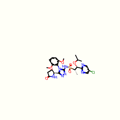 COc1cccc(OC)c1-n1c(NS(=O)(=O)[C@@H](C)[C@@H](OC(C)C)c2ncc(Cl)cn2)nnc1[C@@H]1CCC(=O)N1